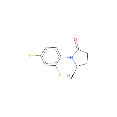 CC1CCC(=O)N1c1ccc(F)cc1F